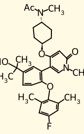 CC(=O)N(C)[C@H]1CC[C@H](Oc2cc(=O)n(C)cc2-c2cc(C(C)(C)O)ccc2Oc2c(C)cc(F)cc2C)CC1